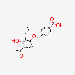 CCCc1c(OCc2ccc(C(=O)O)cc2)ccc(C(C)=O)c1O